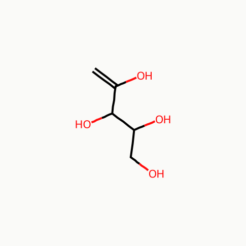 C=C(O)C(O)C(O)CO